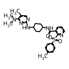 Cc1ccc(S(=O)(=O)c2ncccc2C(=O)NC2CCC(Nc3ncc(C)c(N(C)C)n3)CC2)cc1